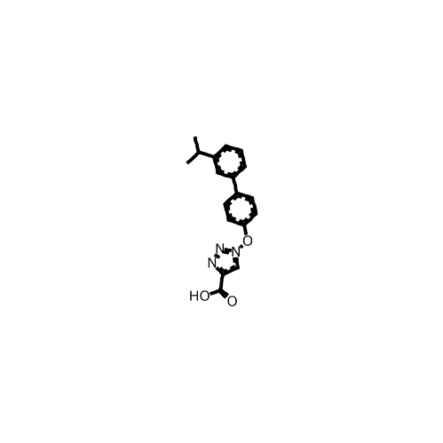 CC(C)c1cccc(-c2ccc(On3cc(C(=O)O)nn3)cc2)c1